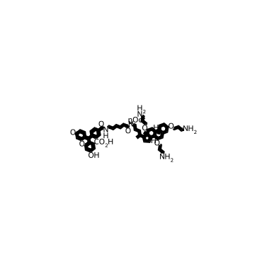 CCCCCCCCN(CCCC(C)C1CC[C@H]2C3[C@H](OCCCN)CC4C[C@H](OCCCN)CCC4(C)[C@H]3C[C@H](OCCCN)C12C)C(=O)CCCCCNC(=O)c1ccc(-c2c3ccc(=O)cc-3oc3cc(O)ccc23)c(C(=O)O)c1